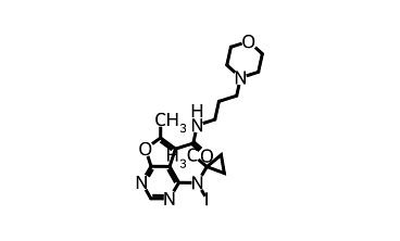 Cc1oc2ncnc(N(I)C3(C)CC3)c2c1C(=O)NCCCN1CCOCC1